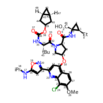 CC[C@@H]1C[C@]1(NC(=O)C1C[C@@H](Oc2cc(-c3cc(NC(C)C)on3)nc3c(Cl)c(OC)ccc23)CN1C(=O)[C@@H](NC(=O)O[C@@H]1C[C@@H]2C[C@@H]2C1)C(C)(C)C)C(=O)O